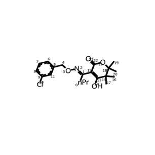 CCC/C(=N\OCc1cccc(Cl)c1)C1=C(O)C(C)(C)C(C)(C)OC1=O